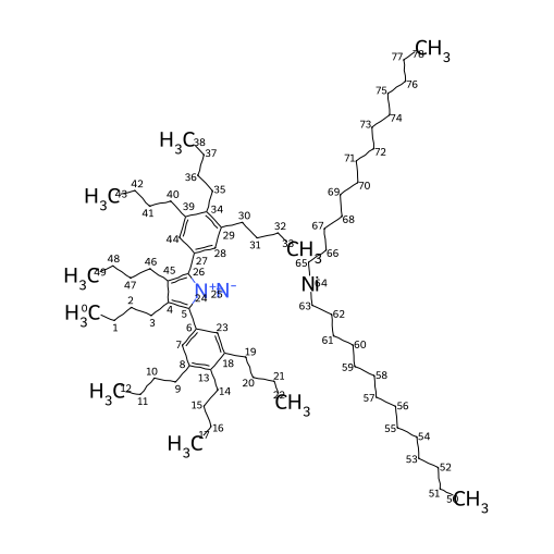 CCCCC1=C(c2cc(CCCC)c(CCCC)c(CCCC)c2)[N+](=[N-])C(c2cc(CCCC)c(CCCC)c(CCCC)c2)=C1CCCC.CCCCCCCCCCCCC[CH2][Ni][CH2]CCCCCCCCCCCCC